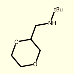 CC(C)(C)NCC1COCCO1